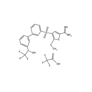 CSc1sc(C(=N)N)cc1S(=O)(=O)c1cccc(-c2cccc(C(O)C(F)(F)F)c2)c1.O=C(O)C(F)(F)F